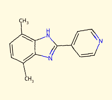 Cc1ccc(C)c2[nH]c(-c3ccncc3)nc12